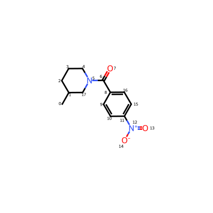 CC1CCCN(C(=O)c2ccc([N+](=O)[O-])cc2)C1